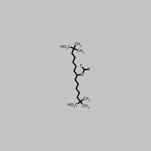 CC(C)(CCCCCC(CCCCCC(C)(C)C(=O)O)OC(F)F)C(=O)O